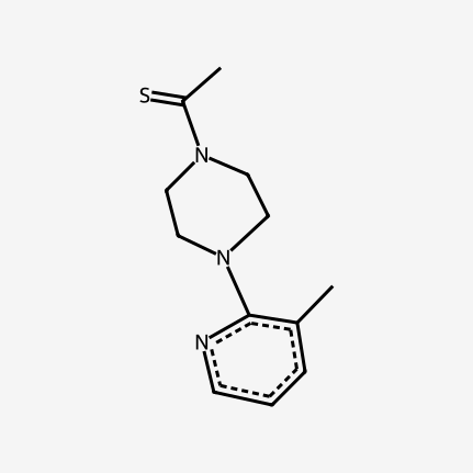 CC(=S)N1CCN(c2ncccc2C)CC1